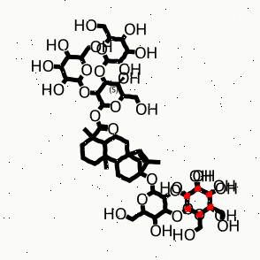 CC1=CC23CCC4C(C)(C(=O)OC5OC(CO)[C@H](O)C(OC6OC(CO)C(O)C(O)C6O)C5OC5OC(CO)C(O)C(O)C5O)CCCC4(C)C2CCC1(OC1OC(CO)C(O)C(OC2OC(CO)C(O)C(O)C2O)C1OC1OC(CO)C(O)C(O)C1O)C3